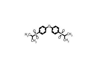 CC(C)S(=O)(=O)c1ccc(Oc2ccc(S(=O)(=O)C(C)C)cc2)cc1